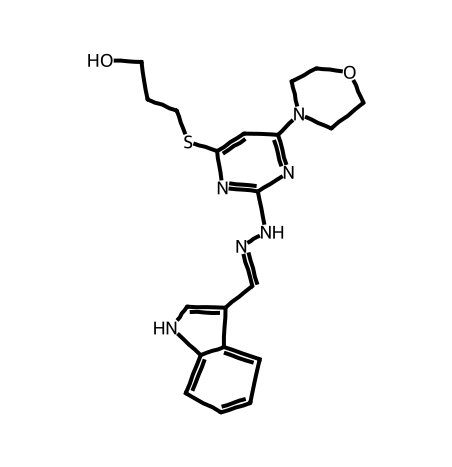 OCCCSc1cc(N2CCOCC2)nc(NN=Cc2c[nH]c3ccccc23)n1